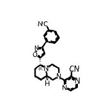 N#Cc1cccc(-c2cc([C@H]3CCC[C@H]4CN(c5nccnc5C#N)CCN43)on2)c1